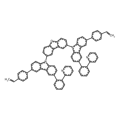 C=Cc1ccc(-c2ccc3c(c2)c2cc(-c4ccccc4-c4ccccn4)ccc2n3-c2ccc3oc4ccc(-n5c6ccc(-c7ccc(C=C)cc7)cc6c6cc(-c7ccccc7-c7ccccn7)ccc65)cc4c3c2)cc1